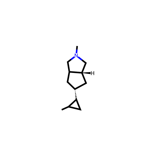 CC1CC1[C@@H]1CC2CN(C)C[C@@H]2C1